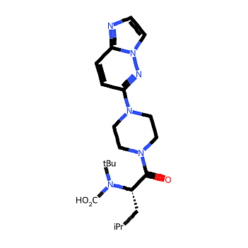 CC(C)C[C@@H](C(=O)N1CCN(c2ccc3nccn3n2)CC1)N(C(=O)O)C(C)(C)C